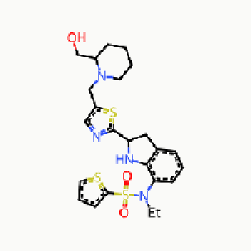 CCN(c1cccc2c1NC(c1ncc(CN3CCCCC3CO)s1)C2)S(=O)(=O)c1cccs1